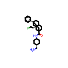 NC[C@H]1CC[C@H](NC(=O)C23CCC4CC[C@](c5ccccc5)(C2)C[C@]4(CCF)C3)CC1